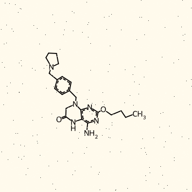 CCCCOc1nc(N)c2c(n1)N(Cc1ccc(CN3CCCC3)cc1)CC(=O)N2